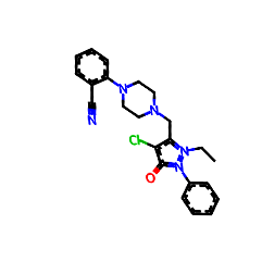 CCn1c(CN2CCN(c3ccccc3C#N)CC2)c(Cl)c(=O)n1-c1ccccc1